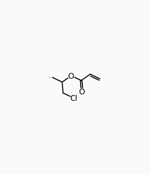 [CH2]C(CCl)OC(=O)C=C